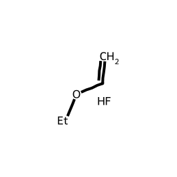 C=COCC.F